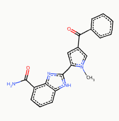 Cn1cc(C(=O)c2ccccc2)cc1-c1nc2c(C(N)=O)cccc2[nH]1